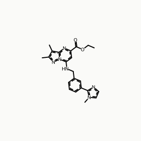 CCOC(=O)c1cc(NCc2cccc(-c3nccn3C)c2)n2nc(C)c(C)c2n1